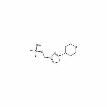 CC(C)(C)[Si](C)(C)OCc1csc(C2CCOCC2)n1